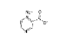 O=S([O-])c1cnccn1.[Na+]